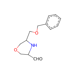 O=CC1COCC(COCc2ccccc2)N1